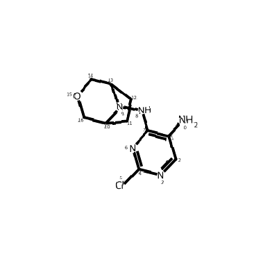 Nc1cnc(Cl)nc1NN1C2CCC1COC2